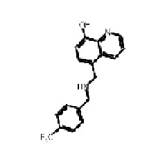 Oc1ccc(CNCc2ccc(C(F)(F)F)cc2)c2cccnc12